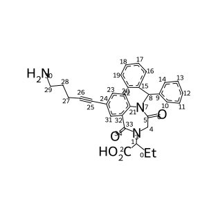 CCC(C(=O)O)N1CC(=O)N(C(c2ccccc2)c2ccccc2)c2ccc(C#CCCCN)cc2C1=O